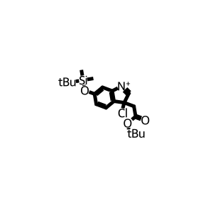 CC(C)(C)OC(=O)CC1(Cl)C#[N+]c2cc(O[Si](C)(C)C(C)(C)C)ccc21